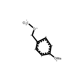 COc1ccc(COC(Cl)(Cl)Cl)cc1